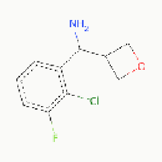 NC(c1cccc(F)c1Cl)C1COC1